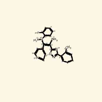 Cc1ccccc1-c1noc(/C(N)=C(\c2ccncc2)N(N)c2ccccc2F)n1